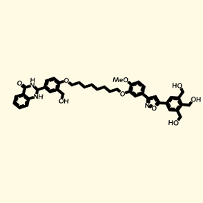 COc1ccc(-c2cc(-c3cc(CO)c(CO)c(CO)c3)on2)cc1OCCCCCCCCOc1ccc(C2NC(=O)c3ccccc3N2)cc1CO